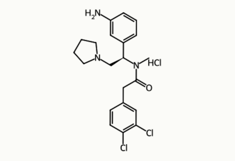 CN(C(=O)Cc1ccc(Cl)c(Cl)c1)[C@@H](CN1CCCC1)c1cccc(N)c1.Cl